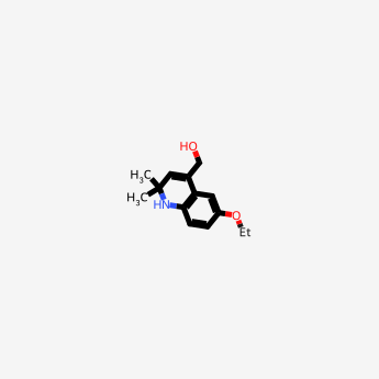 CCOc1ccc2c(c1)C(CO)=CC(C)(C)N2